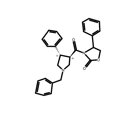 O=C1OCC(c2ccccc2)N1C(=O)[C@H]1CN(Cc2ccccc2)C[C@@H]1c1ccccc1